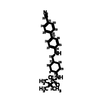 CC(C)(C)S(=O)(=O)NC1CCC(CNc2ccc(-c3ccc(C#N)cc3)cc2)CC1